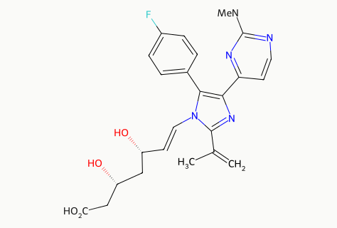 C=C(C)c1nc(-c2ccnc(NC)n2)c(-c2ccc(F)cc2)n1/C=C/[C@@H](O)C[C@@H](O)CC(=O)O